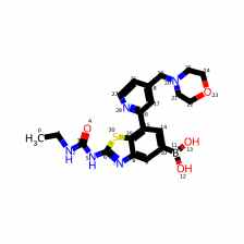 CCNC(=O)Nc1nc2cc(B(O)O)cc(-c3cc(CN4CCOCC4)ccn3)c2s1